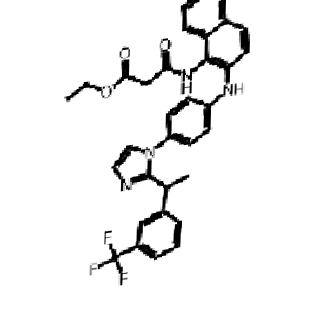 CCOC(=O)CC(=O)Nc1c(Nc2ccc(-n3ccnc3C(C)c3cccc(C(F)(F)F)c3)cc2)ccc2ccccc12